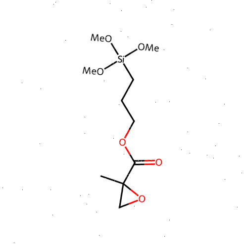 CO[Si](CCCOC(=O)C1(C)CO1)(OC)OC